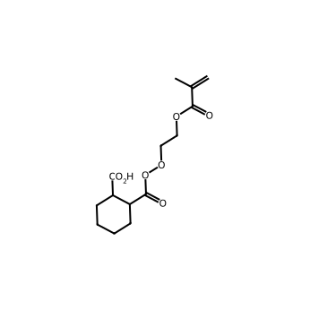 C=C(C)C(=O)OCCOOC(=O)C1CCCCC1C(=O)O